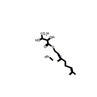 CC(C)=CCC/C(C)=C/COC(=O)C(O)C(O)C(=O)O.CCCC